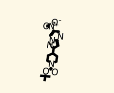 CC(C)(C)OC(=O)N1CCC(c2cc3ncc([N+](=O)[O-])cn3n2)CC1